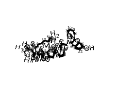 CC[C@H](C)[C@@H]([C@@H](CC(=O)N1CCC[C@H]1[C@H](OC)[C@@H](C)C(=O)N[C@@H](Cc1ccc(O)cc1)C(=O)N1CCCCO1)OC)N(C)C(=O)[C@@H](NC(=O)[C@H](C(C)O)N(C)CCCCCCN)C(C)C